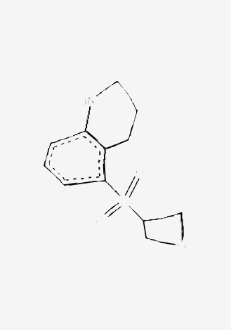 O=S(=O)(c1cccc2c1CCCN2)C1COC1